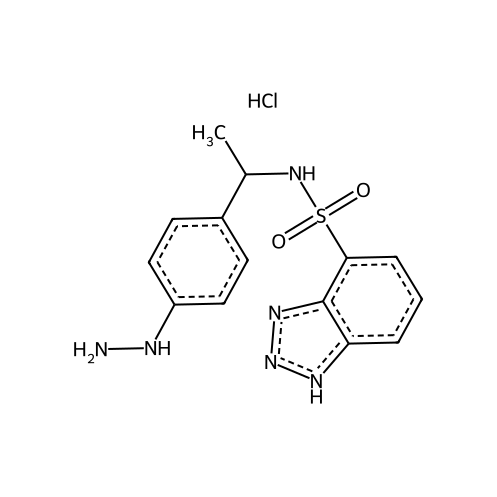 CC(NS(=O)(=O)c1cccc2[nH]nnc12)c1ccc(NN)cc1.Cl